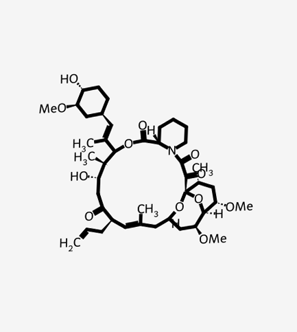 C=CC[C@@H]1/C=C(\C)C[C@H]2C[C@H](OC)[C@H]3O[C@@](O2)(C(=O)C(=O)N2CCCC[C@H]2C(=O)OC(/C(C)=C/[C@@H]2CC[C@@H](O)[C@H](OC)C2)[C@H](C)[C@@H](O)CC1=O)[C@H](C)C[C@@H]3OC